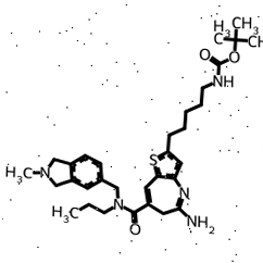 CCCN(Cc1ccc2c(c1)CN(C)C2)C(=O)C1=Cc2sc(CCCCCNC(=O)OC(C)(C)C)cc2N=C(N)C1